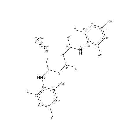 Cc1cc(C)c(NC(C)CN(C)CC(C)Nc2c(C)cc(C)cc2C)c(C)c1.[Cl-].[Cl-].[Co+2]